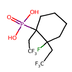 O=P(O)(O)C1(CC(F)(F)F)CCCCC1(F)CC(F)(F)F